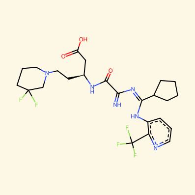 N=C(/N=C(\Nc1cccnc1C(F)(F)F)C1CCCC1)C(=O)N[C@@H](CCN1CCCC(F)(F)C1)CC(=O)O